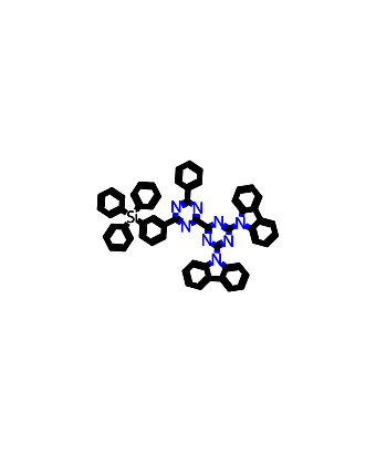 c1ccc(-c2nc(-c3cccc([Si](c4ccccc4)(c4ccccc4)c4ccccc4)c3)nc(-c3nc(-n4c5ccccc5c5ccccc54)nc(-n4c5ccccc5c5ccccc54)n3)n2)cc1